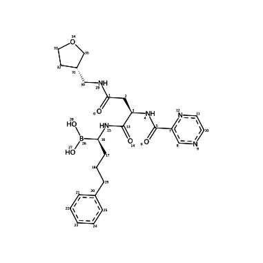 O=C(C[C@@H](NC(=O)c1cnccn1)C(=O)N[C@@H](CCCc1ccccc1)B(O)O)NC[C@@H]1CCOC1